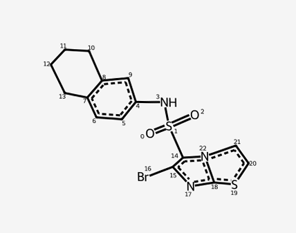 O=S(=O)(Nc1ccc2c(c1)CCCC2)c1c(Br)nc2sccn12